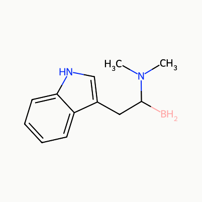 BC(Cc1c[nH]c2ccccc12)N(C)C